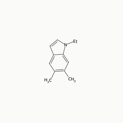 CCn1ccc2cc(C)c(C)cc21